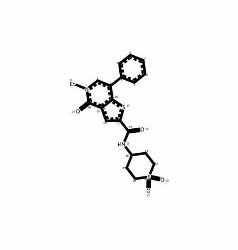 CCn1cc(-c2ccccc2)c2sc(C(=O)NC3CCS(=O)(=O)CC3)cc2c1=O